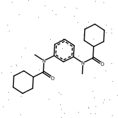 CN(C(=O)C1CCCCC1)c1cccc(N(C)C(=O)C2CCCCC2)c1